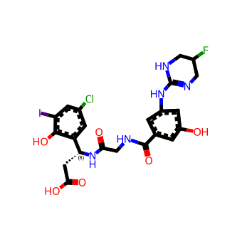 O=C(O)C[C@@H](NC(=O)CNC(=O)c1cc(O)cc(NC2=NCC(F)CN2)c1)c1cc(Cl)cc(I)c1O